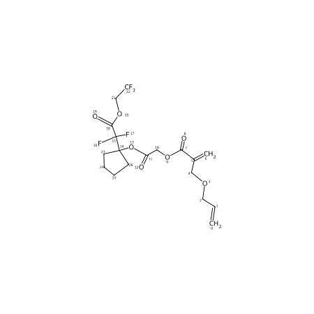 C=CCOCC(=C)C(=O)OCC(=O)OC1(C(F)(F)C(=O)OCC(F)(F)F)CCCC1